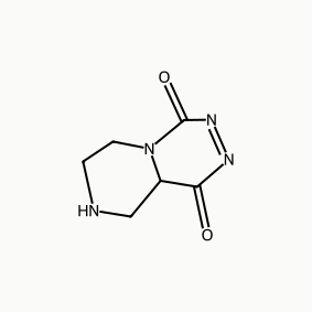 O=C1N=NC(=O)N2CCNCC12